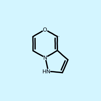 [C]1=C2C=CNN2C=CO1